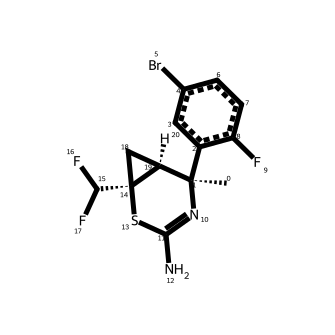 C[C@]1(c2cc(Br)ccc2F)N=C(N)S[C@@]2(C(F)F)C[C@@H]12